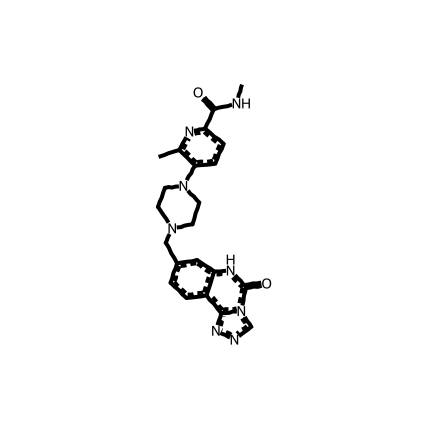 CNC(=O)c1ccc(N2CCN(Cc3ccc4c(c3)[nH]c(=O)n3cnnc43)CC2)c(C)n1